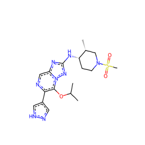 CC(C)Oc1c(-c2cn[nH]c2)ncc2nc(N[C@H]3CCN(S(C)(=O)=O)C[C@H]3C)nn12